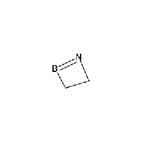 B1=NCC1